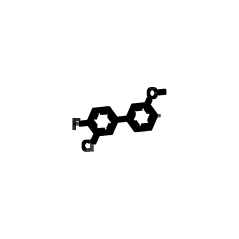 COc1[c]ccc(-c2ccc(F)c(Cl)c2)c1